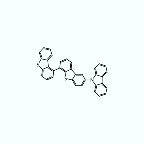 c1ccc2c(c1)sc1cccc(-c3cccc4c3sc3ccc(-n5c6ccccc6c6ccccc65)cc34)c12